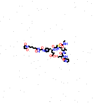 CCNC(=O)O[C@H](CC(C(C)C)N(C)C(=O)[C@@H](NC(=O)[C@@]1(C)CCCN1C)[C@@H](C)CC)c1nc(C(=O)N[C@@H](Cc2ccc(NC(=O)CNC(=O)CCCCCN3C(=O)C=CC3=O)cc2)C[C@H](C)C(=O)O)cs1